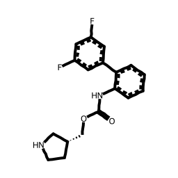 O=C(Nc1ccccc1-c1cc(F)cc(F)c1)OC[C@@H]1CCNC1